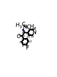 CN(C)/C=C(/C(=O)c1ccc(F)cc1)c1ccncc1